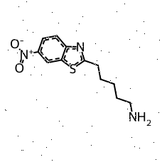 NCCCCCc1nc2ccc([N+](=O)[O-])cc2s1